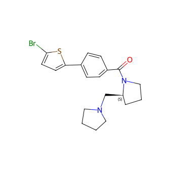 O=C(c1ccc(-c2ccc(Br)s2)cc1)N1CCC[C@H]1CN1CCCC1